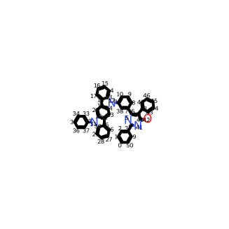 c1ccc(-c2nc(-c3cccc(-n4c5ccccc5c5cc6c(cc54)c4ccccc4n6-c4ccccc4)c3)c3c(n2)oc2ccccc23)cc1